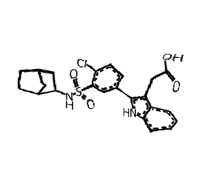 O=C(O)Cc1c(-c2ccc(Cl)c(S(=O)(=O)NC3CC4CCC3C4)c2)[nH]c2ccccc12